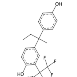 CCC(C)(c1ccc(O)cc1)c1ccc(O)c(C(C)(O)C(F)(F)F)c1